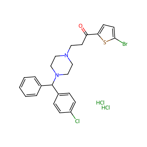 Cl.Cl.O=C(CCN1CCN(C(c2ccccc2)c2ccc(Cl)cc2)CC1)c1ccc(Br)s1